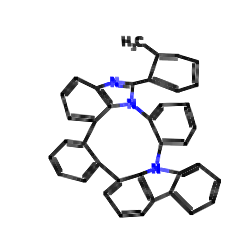 Cc1ccccc1-c1nc2cccc3c4ccccc4c4cccc5c6ccccc6n(c6ccccc6n1c23)c45